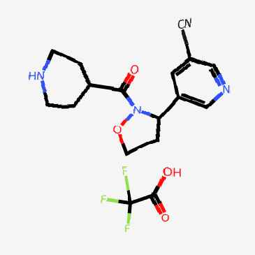 N#Cc1cncc(C2CCON2C(=O)C2CCNCC2)c1.O=C(O)C(F)(F)F